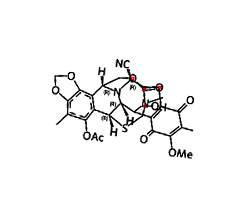 COC1=C(C)C(=O)C2=C(C1=O)C1[C@@H]3[C@@H]4SCC(O)C(=O)OC[C@@H](c5c6c(c(C)c(OC(C)=O)c54)OCO6)N3[C@@H](C#N)C(C2)N1C